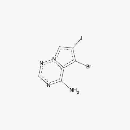 Nc1ncnn2cc(I)c(Br)c12